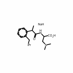 CC(C)Cc1ccccc1C(C)C(=O)NC(CN(C)C)C(=O)O.[NaH]